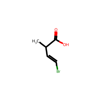 CC(C=CBr)C(=O)O